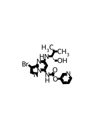 CC(C)[C@H](CO)Nc1cc(NC(=O)Oc2cccnc2)n2ncc(Br)c2n1